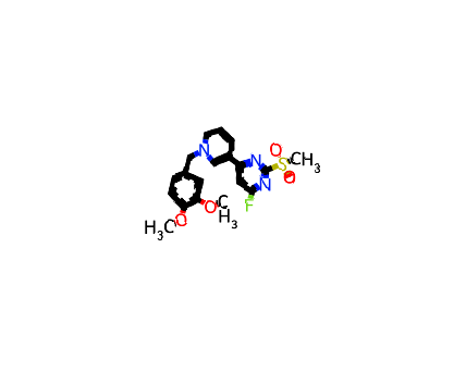 COc1ccc(CN2C=C(c3cc(F)nc(S(C)(=O)=O)n3)C=CC2)cc1OC